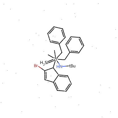 CC(C)(C)[NH][Zr]([CH3])([CH3])(=[SiH2])([CH2]c1ccccc1)([CH2]c1ccccc1)[CH]1C(Br)=Cc2ccccc21